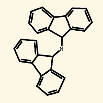 c1ccc2c(c1)-c1ccccc1C2[N]C1c2ccccc2-c2ccccc21